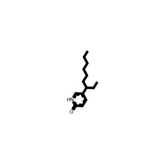 CCCCCCC(CC)c1ccc(=O)[nH]c1